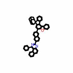 c1ccc(-c2nc(-c3ccc4cc(-c5cc6c(c7c5oc5ccccc57)-c5ccccc5C65C6CC7CC(C6)CC5C7)ccc4c3)nc3ccc4ccccc4c23)cc1